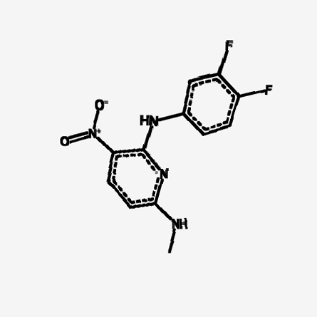 CNc1ccc([N+](=O)[O-])c(Nc2ccc(F)c(F)c2)n1